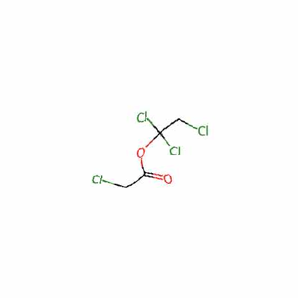 O=C(CCl)OC(Cl)(Cl)CCl